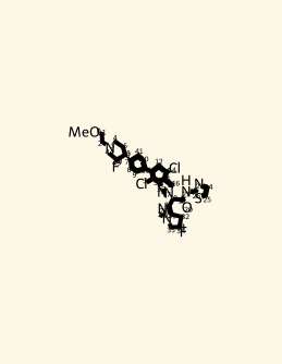 COCCN1CC[C@@H](c2ccc(-c3cc(Cl)c4cn(C(C(=O)Nc5nccs5)c5ncn6c5C[C@@H](F)C6)nc4c3Cl)cc2)[C@H](F)C1